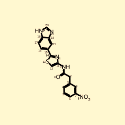 O=C(Cc1cccc([N+](=O)[O-])c1)Nc1csc(-c2ccc3[nH]cnc3c2)n1